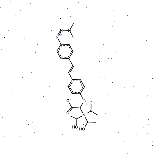 CC(O)[N+](C(C)O)(C(C)O)C(Oc1ccc(C=Cc2ccc(/N=N\N(C)C)cc2)cc1)C(=O)[O-]